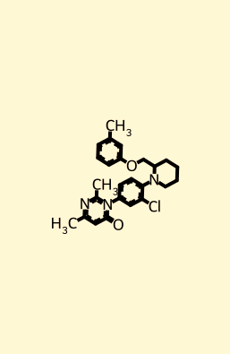 Cc1cccc(OCC2CCCCN2c2ccc(-n3c(C)nc(C)cc3=O)cc2Cl)c1